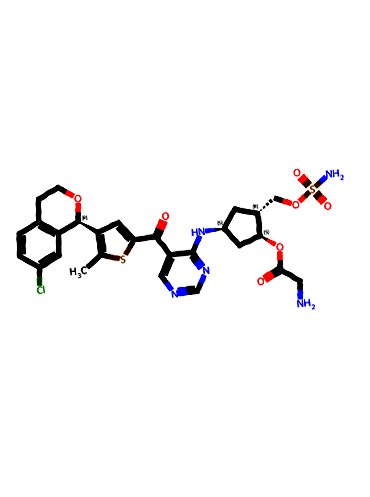 Cc1sc(C(=O)c2cncnc2N[C@H]2C[C@H](COS(N)(=O)=O)[C@@H](OC(=O)CN)C2)cc1[C@@H]1OCCc2ccc(Cl)cc21